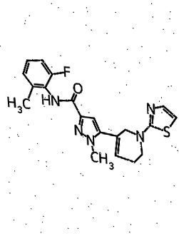 Cc1cccc(F)c1NC(=O)c1cc(C2=CCCN(c3nccs3)C2)n(C)n1